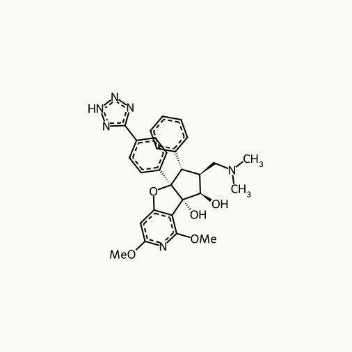 COc1cc2c(c(OC)n1)[C@]1(O)[C@H](O)[C@H](CN(C)C)[C@@H](c3ccccc3)[C@]1(c1ccc(-c3nn[nH]n3)cc1)O2